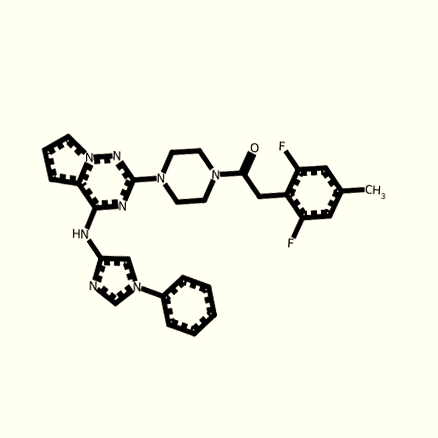 Cc1cc(F)c(CC(=O)N2CCN(c3nc(Nc4cn(-c5ccccc5)cn4)c4cccn4n3)CC2)c(F)c1